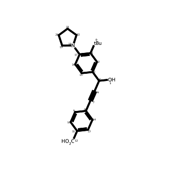 CC(C)(C)c1cc(C(O)C#Cc2ccc(C(=O)O)cc2)ccc1N1CCCC1